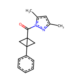 Cc1cc(C)n(C(=O)C23CC2(c2ccccc2)C3)n1